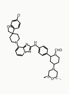 C[C@H]1CN(C2CCN(C=O)C(c3ccc(Nc4nc5c(N6CCC(CO)(c7ccc(Cl)cc7)CC6)cccn5n4)cc3)C2)C[C@H](C)O1